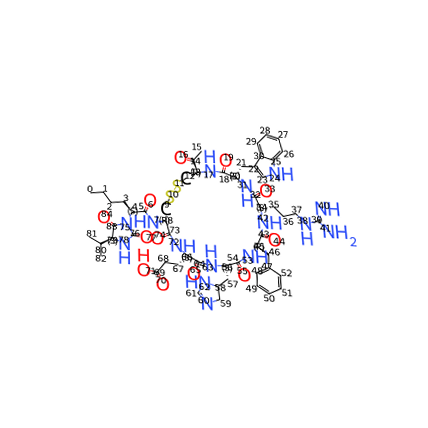 CCCC[C@@H](C(=O)N[C@H]1CSSC[C@@H](C(C)=O)NC(=O)[C@H](Cc2c[nH]c3ccccc23)NC(=O)[C@H](CCCNC(=N)N)NC(=O)[C@@H](Cc2ccccc2)NC(=O)[C@H](CC2CN=CN2)NC(=O)[C@H](CCC(=O)O)NC1=O)N1C(=O)N[C@@H](C(C)C)C1=O